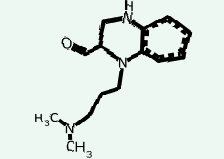 CN(C)CCCN1c2ccccc2NCC1C=O